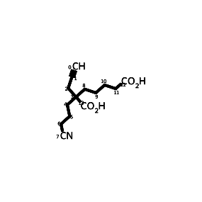 C#CCC(CCCC#N)(CCCCC(=O)O)C(=O)O